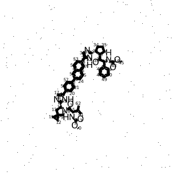 COC(=O)N[C@H](C(=O)N1CC2(CC2)C[C@H]1c1ncc(-c2ccc(-c3ccc4cc(-c5cnc([C@@H]6CCCC6C(=O)[C@H](NC(=O)OC)c6ccccc6)[nH]5)ccc4c3)cc2)[nH]1)C(C)C